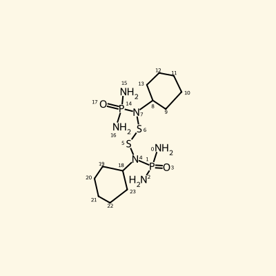 NP(N)(=O)N(SSN(C1CCCCC1)P(N)(N)=O)C1CCCCC1